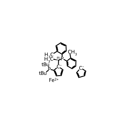 Cc1ccccc1P(c1ccccc1C)[C@H](C)[c-]1cccc1P(C(C)(C)C)C(C)(C)C.[Fe+2].c1cc[cH-]c1